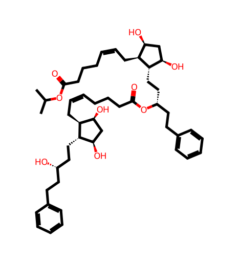 CC(C)OC(=O)CCC/C=C\C[C@@H]1[C@@H](CC[C@H](CCc2ccccc2)OC(=O)CCCC=CC[C@@H]2[C@@H](CC[C@@H](O)CCc3ccccc3)[C@H](O)C[C@@H]2O)[C@H](O)C[C@@H]1O